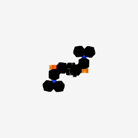 CS(C)(c1ccc2[pH]c3ccc(-n4c5ccccc5c5ccccc54)cc3c2c1)c1ccc2[pH]c3ccc(-n4c5ccccc5c5ccccc54)cc3c2c1